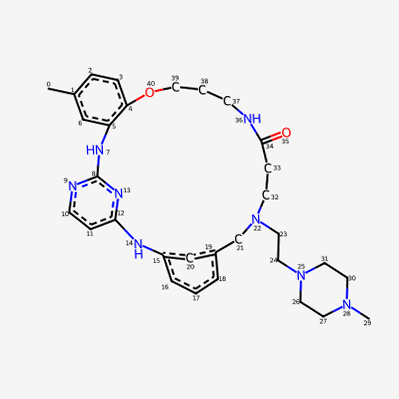 Cc1ccc2c(c1)Nc1nccc(n1)Nc1cccc(c1)CN(CCN1CCN(C)CC1)CCC(=O)NCCCO2